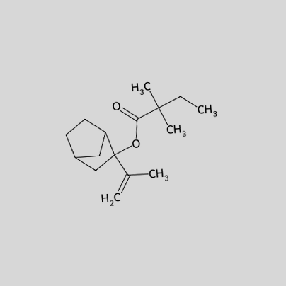 C=C(C)C1(OC(=O)C(C)(C)CC)CC2CCC1C2